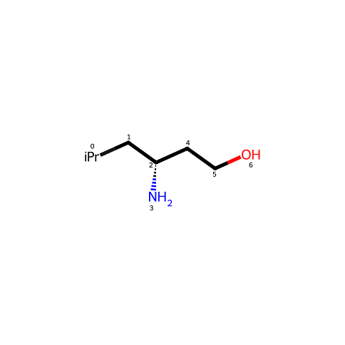 CC(C)C[C@@H](N)CCO